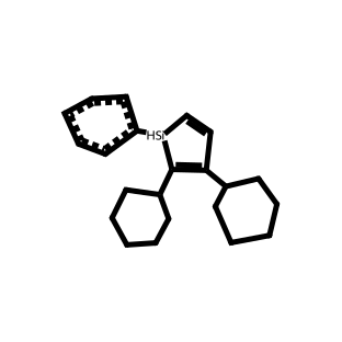 C1=C[SiH](c2ccccc2)C(C2CCCCC2)=C1C1CCCCC1